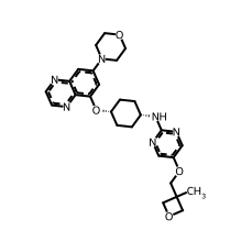 CC1(COc2cnc(N[C@H]3CC[C@@H](Oc4cc(N5CCOCC5)cc5nccnc45)CC3)nc2)COC1